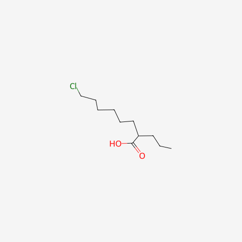 CCCC(CCCCCCCl)C(=O)O